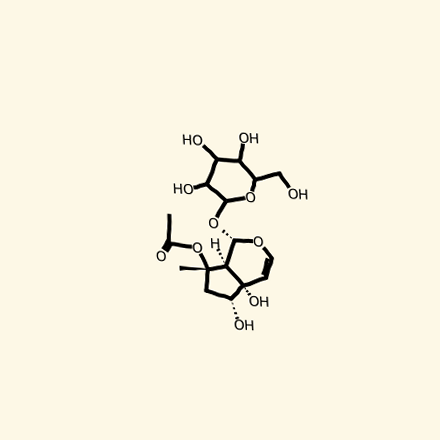 CC(=O)O[C@@]1(C)C[C@@H](O)[C@]2(O)C=CO[C@@H](OC3OC(CO)C(O)C(O)C3O)[C@@H]21